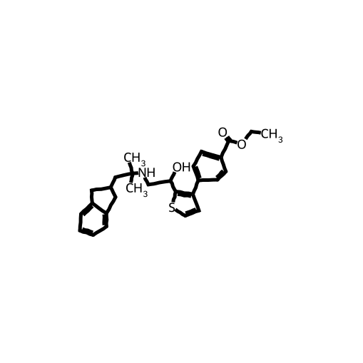 CCOC(=O)c1ccc(-c2ccsc2C(O)CNC(C)(C)CC2Cc3ccccc3C2)cc1